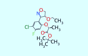 CCO[C@@H]1CON=C1c1cc(Cl)c(F)cc1O[C@@H](C)C(=O)OC(C)(C)C